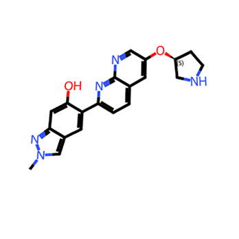 Cn1cc2cc(-c3ccc4cc(O[C@H]5CCNC5)cnc4n3)c(O)cc2n1